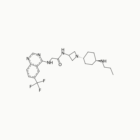 CCCN[C@H]1CC[C@H](N2CC(NC(=O)CNc3ncnc4ccc(C(F)(F)F)cc34)C2)CC1